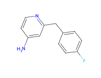 Nc1ccnc(Cc2ccc(F)cc2)c1